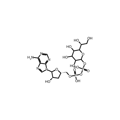 Nc1ncnc2c1ncn2C1O[C@H](COP(=O)(O)OP(=O)(O)OC2OC([C@@H](O)CO)C(O)C(O)C2O)C[C@H]1O